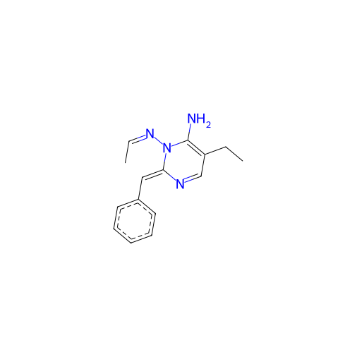 C/C=N\N1C(N)=C(CC)C=N/C1=C\c1ccccc1